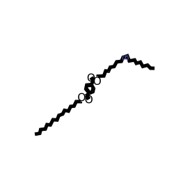 CCCCCCCC/C=C\CCCCCCCCOC(=O)c1ccc(C(=O)OCCCCCCCCCCCCCCCC)cc1